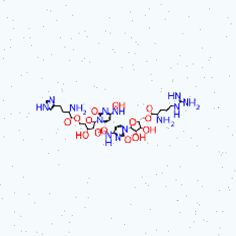 N=C(N)NCCC[C@@H](N)C(=O)OC[C@H]1O[C@@H](n2ccc(NOO[C@@H]3[C@H](O)[C@@H](COC(=O)[C@H](N)CCc4c[nH]cn4)O[C@H]3n3ccc(NO)nc3=O)nc2=O)[C@H](O)[C@@H]1O